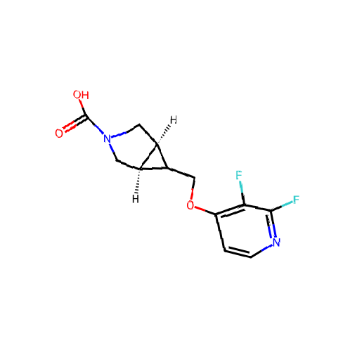 O=C(O)N1C[C@@H]2C(COc3ccnc(F)c3F)[C@@H]2C1